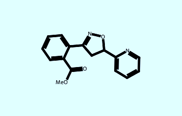 COC(=O)c1ccccc1C1=NOC(c2ccccn2)C1